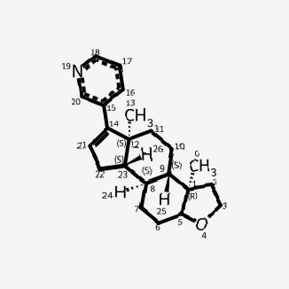 C[C@]12CCOC1CC[C@@H]1[C@@H]2CC[C@]2(C)C(c3cccnc3)=CC[C@@H]12